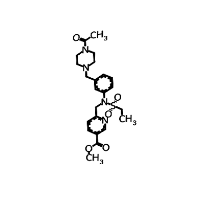 CCS(=O)(=O)N(Cc1ccc(C(=O)OC)cn1)c1cccc(CN2CCN(C(C)=O)CC2)c1